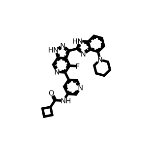 O=C(Nc1cncc(-c2ncc3[nH]nc(-c4nc5c(N6CCCCC6)cccc5[nH]4)c3c2F)c1)C1CCC1